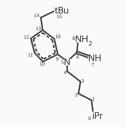 CC(C)CCCCN(C(=N)N)c1cccc(CC(C)(C)C)c1